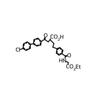 CCOC(=O)CNC(=O)c1ccc(CCC(CC(=O)c2ccc(-c3ccc(Cl)cc3)cc2)C(=O)O)cc1